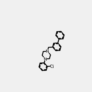 Clc1ccccc1N1CCN(Cc2cccc(-c3ccccc3)c2)CC1